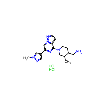 CC1CN(c2nc(-c3cnn(C)c3)cn3nccc23)CCC1CN.Cl.Cl